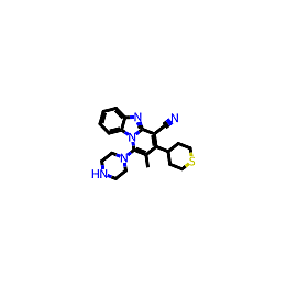 Cc1c(C2CCSCC2)c(C#N)c2nc3ccccc3n2c1N1CCNCC1